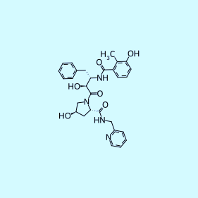 Cc1c(O)cccc1C(=O)N[C@@H](Cc1ccccc1)[C@H](O)C(=O)N1C[C@H](O)C[C@H]1C(=O)NCc1ccccn1